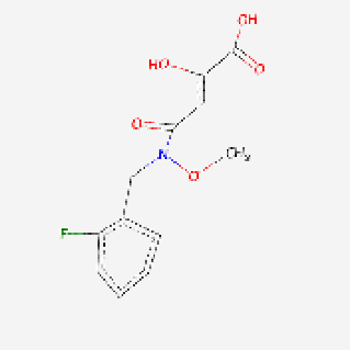 CON(Cc1ccccc1F)C(=O)C=C(O)C(=O)O